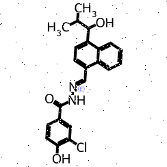 CC(C)C(O)c1ccc(/C=N/NC(=O)c2ccc(O)c(Cl)c2)c2ccccc12